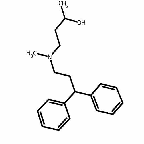 CC(O)CCN(C)CCC(c1ccccc1)c1ccccc1